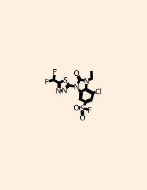 CCn1c(=O)n(-c2nnc(C(F)F)s2)c2cc(S(=O)(=O)F)cc(Cl)c21